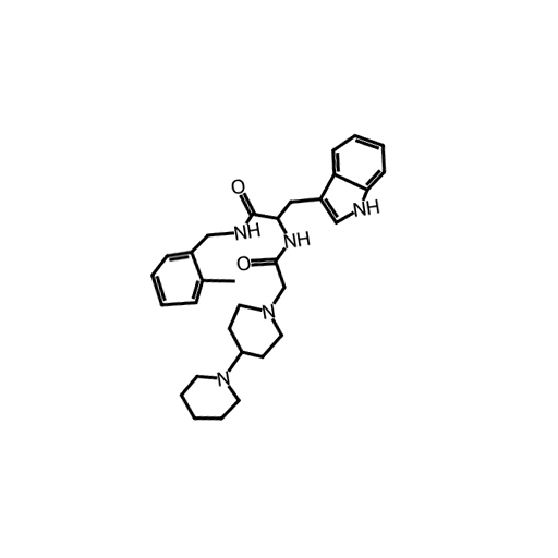 Cc1ccccc1CNC(=O)C(Cc1c[nH]c2ccccc12)NC(=O)CN1CCC(N2CCCCC2)CC1